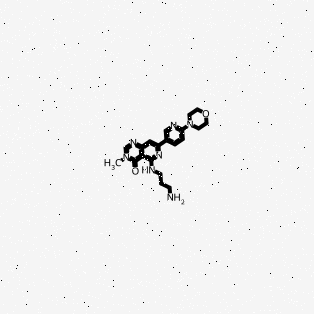 Cn1cnc2cc(-c3ccc(N4CCOCC4)nc3)nc(NCCCN)c2c1=O